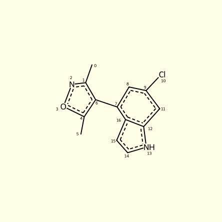 Cc1noc(C)c1-c1cc(Cl)cc2[nH]ccc12